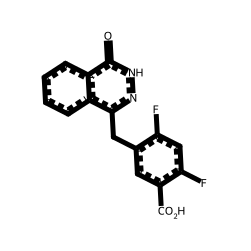 O=C(O)c1cc(Cc2n[nH]c(=O)c3ccccc23)c(F)cc1F